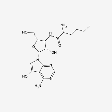 CCCCC(N)C(=O)NC1[C@@H](CO)O[C@@H](n2cc(O)c3c(N)ncnc32)[C@H]1O